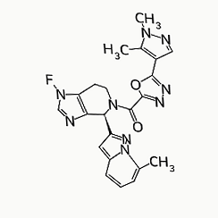 Cc1c(-c2nnc(C(=O)N3CCc4c(ncn4F)[C@@H]3c3cc4cccc(C)n4n3)o2)cnn1C